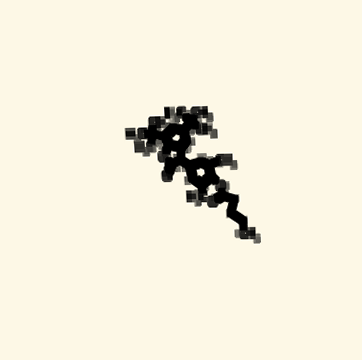 CCCCC(=O)Oc1c(C)cc(C2C(=O)Oc3c2cc(C(C)(C)C)cc3C(C)(C)C)cc1C